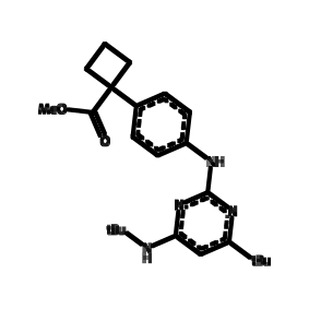 COC(=O)C1(c2ccc(Nc3nc(NC(C)(C)C)cc(C(C)(C)C)n3)cc2)CCC1